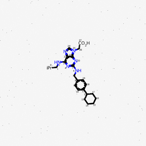 CC(C)CNc1nc(NCc2ccc(C3CCCCC3)cc2)nc2c1ncn2CC(=O)O